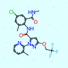 CNC(=O)c1cc(Cl)cc(C)c1NC(=O)c1cc(OCC(F)(F)F)nn1-c1ncccc1C